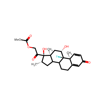 [CH2]OC(=O)OCC(=O)[C@@]1(O)[C@@H](C)CC2C3CCC4=CC(=O)C=C[C@]4(C)[C@@]3(F)[C@@H](O)C[C@@]21C